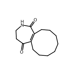 O=C1CCNC(=O)C2=C1CCCCCCCC2